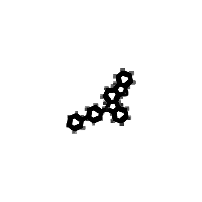 c1ccc(-c2ccc(-n3c4ccccc4c4c5oc6ccccc6c5ccc43)cc2)cc1